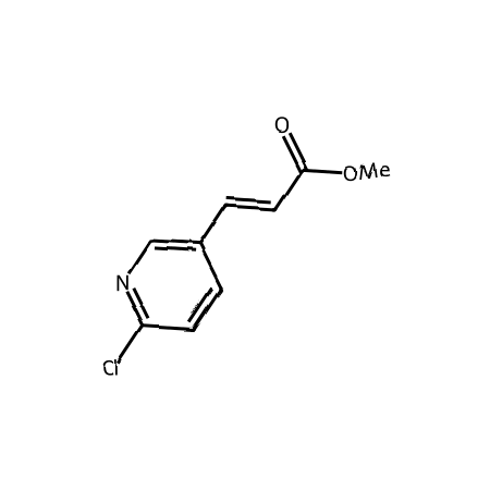 COC(=O)/C=C/c1ccc(Cl)nc1